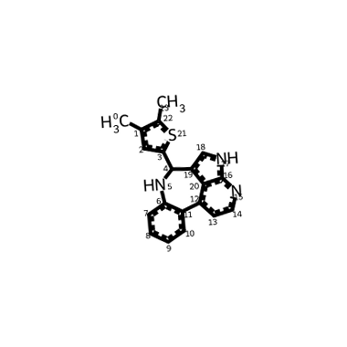 Cc1cc(C2Nc3ccccc3-c3ccnc4[nH]cc2c34)sc1C